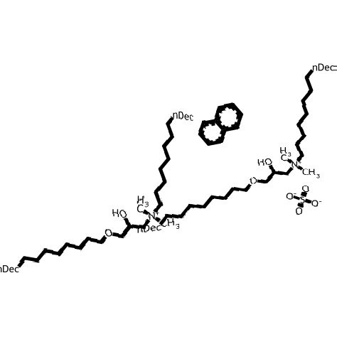 CCCCCCCCCCCCCCCCCCOCC(O)C[N+](C)(C)CCCCCCCCCCCCCCCCCC.CCCCCCCCCCCCCCCCCCOCC(O)C[N+](C)(C)CCCCCCCCCCCCCCCCCC.O=S(=O)([O-])[O-].c1ccc2ccccc2c1